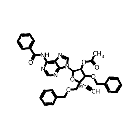 C#C[C@]1(COCc2ccccc2)OC(n2cnc3c(NC(=O)c4ccccc4)ncnc32)C(OC(C)=O)C1OCc1ccccc1